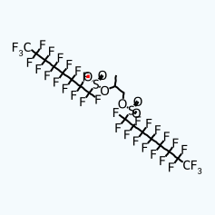 CC(COS(=O)(=O)C(F)(F)C(F)(F)C(F)(F)C(F)(F)C(F)(F)C(F)(F)C(F)(F)C(F)(F)F)OS(=O)(=O)C(F)(F)C(F)(F)C(F)(F)C(F)(F)C(F)(F)C(F)(F)C(F)(F)C(F)(F)F